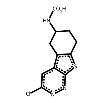 O=C(O)NC1CCc2sc3nnc(Cl)cc3c2C1